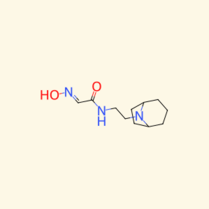 O=C(/C=N/O)NCCN1C2CCCC1CC2